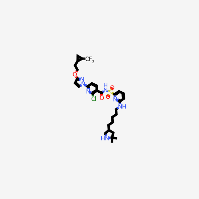 CC1(C)CC(CCCCCNc2cccc(S(=O)(=O)NC(=O)c3ccc(-n4ccc(OCCC5CC5C(F)(F)F)n4)nc3Cl)n2)CN1